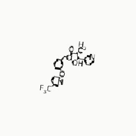 C=C(C(=O)OCc1cccc(Oc2ccc(C(F)(F)F)cn2)c1)C(O)c1cccnc1